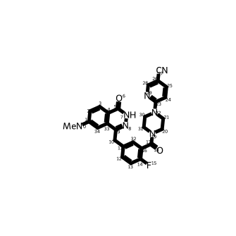 CNc1ccc2c(=O)[nH]nc(Cc3ccc(F)c(C(=O)N4CCN(c5ccc(C#N)cn5)CC4)c3)c2c1